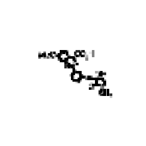 COc1ccc2c(C(=O)O)nc(-c3cccc(C#C[C@]4(O)CCN(C)C4=O)c3)nc2c1